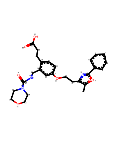 Cc1oc(-c2ccccc2)nc1CCOc1ccc(CCC(=O)O)c(CNC(=O)N2CCOCC2)c1